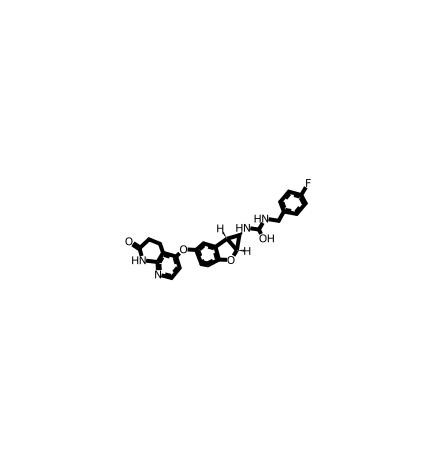 O=C1CCc2c(Oc3ccc4c(c3)[C@H]3[C@H](NC(O)NCc5ccc(F)cc5)[C@H]3O4)ccnc2N1